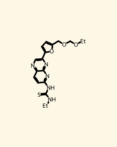 CCNC(=S)Nc1ccc2ncc(-c3ccc(COCOCC)o3)nc2n1